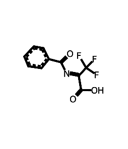 O=C(O)C(=NC(=O)c1ccccc1)C(F)(F)F